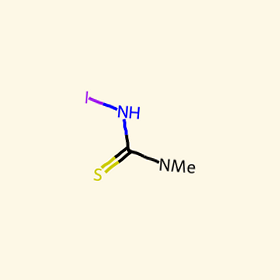 CNC(=S)NI